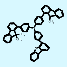 CC1c2ccccc2-c2cccc(-c3ccc(N(c4ccc(-c5cccc6c5C(C)(C)c5ccccc5-6)cc4)c4ccc(-c5cccc6c5oc5ccccc56)cc4)cc3)c21